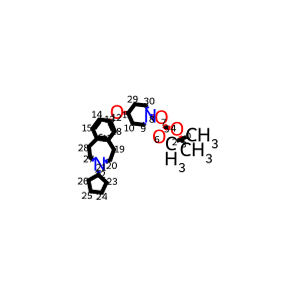 CC(C)(C)OC(=O)ON1CCC(Oc2ccc3c(c2)CCN(C2CCCC2)CC3)CC1